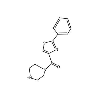 O=C(c1csc(-c2ccccc2)n1)N1CCNCC1